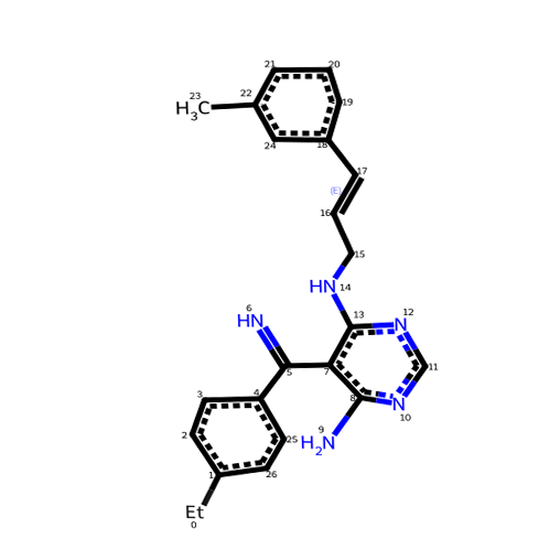 CCc1ccc(C(=N)c2c(N)ncnc2NC/C=C/c2cccc(C)c2)cc1